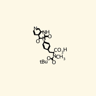 CN(C(=O)OC(C)(C)C)C(Cc1ccc(-n2c(=O)[nH]c3cnccc3c2=O)cc1)C(=O)O